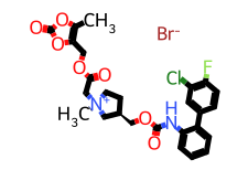 Cc1oc(=O)oc1COC(=O)C[N+]1(C)CC[C@@H](COC(=O)Nc2ccccc2-c2ccc(F)c(Cl)c2)C1.[Br-]